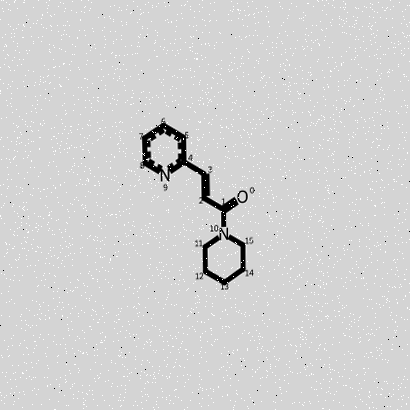 O=C(C=Cc1ccccn1)N1CCCCC1